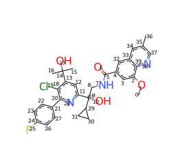 COc1cc(C(=O)NC[C@](O)(c2cc(C(C)(C)O)c(Cl)c(-c3ccc(F)cc3)n2)C2CC2)cc2cc(C)cnc12